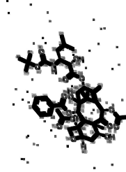 CC(=O)O[C@@H]1C(=O)[C@@]2(C)[C@H]([C@H](OC(=O)c3ccccc3)[C@]3(O)C[C@H](OC(=O)[C@@H](O)[C@H](CC(C)C)NC(=O)OC(C)(C)C)C(C)=C1C3(C)C)[C@]1(OC(C)=O)CO[C@@H]1C[C@@H]2O